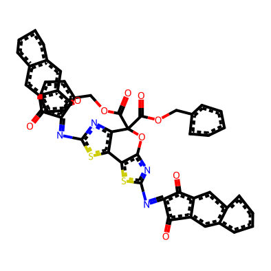 O=C(OCc1ccccc1)C1(C(=O)OCc2ccccc2)Oc2nc(N=c3c(=O)c4cc5ccccc5cc4c3=O)sc2-c2sc(N=c3c(=O)c4cc5ccccc5cc4c3=O)nc21